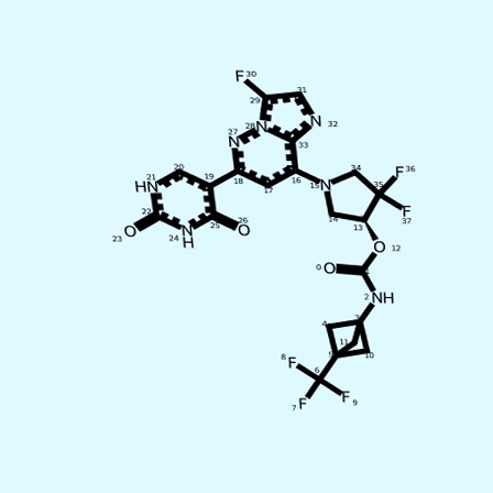 O=C(NC12CC(C(F)(F)F)(C1)C2)O[C@H]1CN(c2cc(-c3c[nH]c(=O)[nH]c3=O)nn3c(F)cnc23)CC1(F)F